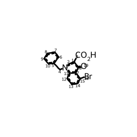 O=C(O)c1cn(Cc2ccccc2)c2cccc(Br)c2c1=O